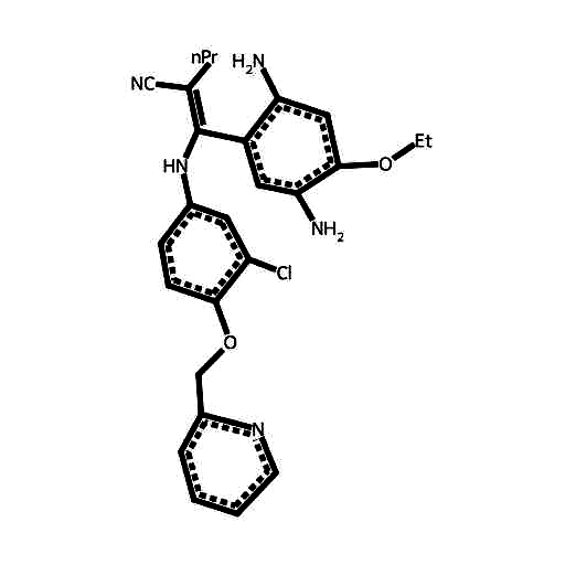 CCC/C(C#N)=C(/Nc1ccc(OCc2ccccn2)c(Cl)c1)c1cc(N)c(OCC)cc1N